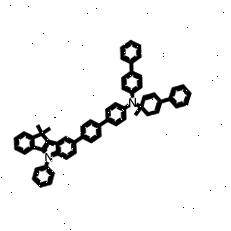 CC1(C)c2ccccc2-c2c1c1cc(-c3ccc(-c4ccc(N(c5ccc(-c6ccccc6)cc5)C5(C)C=CC(c6ccccc6)=CC5)cc4)cc3)ccc1n2-c1ccccc1